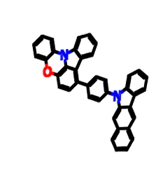 c1ccc2c(c1)Oc1ccc(-c3ccc(-n4c5ccccc5c5cc6ccccc6cc54)cc3)c3c4ccccc4n-2c13